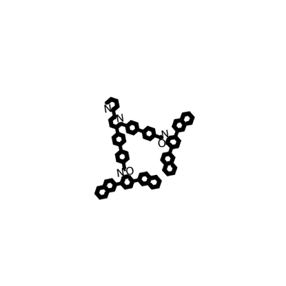 c1ccc(-c2ccc(-c3ccc(-c4ccc(-c5nc6c(-c7ccc8ccccc8c7)ccc(-c7ccc8ccccc8c7)c6o5)cc4)cc3)c(-c3ccc(-c4ccc(-c5nc6c(-c7ccc8ccccc8c7)ccc(-c7ccc8ccccc8c7)c6o5)cc4)cc3)n2)nc1